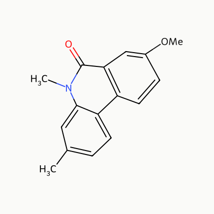 COc1ccc2c(c1)c(=O)n(C)c1cc(C)ccc21